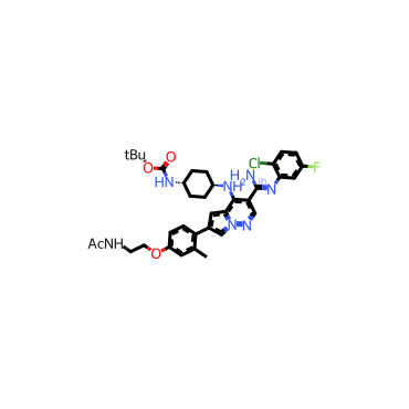 CC(=O)NCCOc1ccc(-c2cc3c(N[C@H]4CC[C@H](NC(=O)OC(C)(C)C)CC4)c(/C(N)=N/c4cc(F)ccc4Cl)cnn3c2)c(C)c1